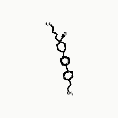 CCCCCC1(C#N)CCC(c2ccc(-c3ccc(CCC)cc3)cc2)CC1